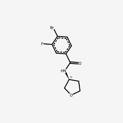 O=C(N[C@H]1CCOC1)c1ccc(Br)c(F)c1